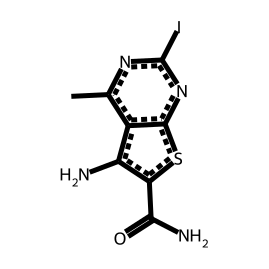 Cc1nc(I)nc2sc(C(N)=O)c(N)c12